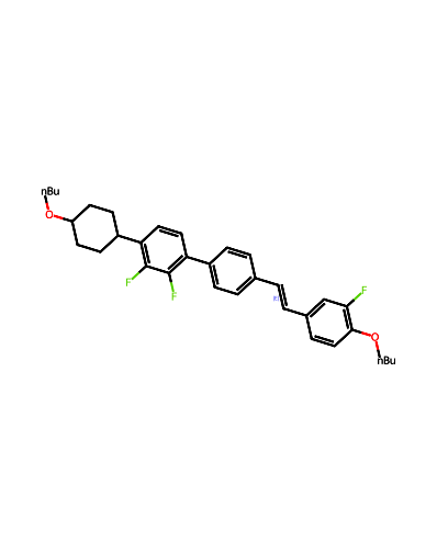 CCCCOc1ccc(/C=C/c2ccc(-c3ccc(C4CCC(OCCCC)CC4)c(F)c3F)cc2)cc1F